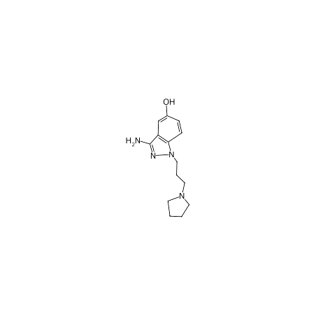 Nc1nn(CCCN2CCCC2)c2ccc(O)cc12